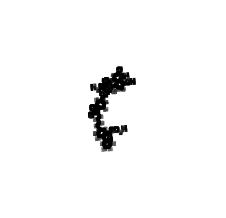 CC(C)(C)[Si](C)(C)O[C@@H](CNCCc1ccc2c(c1)oc(=O)n2CCC=Cc1ccc(-c2ccccc2)c(NC(=O)O)c1)c1ccc(O)c2[nH]c(=O)ccc12